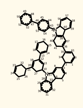 C1=CC(C2=CCC3C(=C2)N(C2C=C(C4=CCCC=C4)C=C(C4CC=CCC4)C2)c2ccccc23)CC(C2=CC3=C(CC2)N(c2ccc(-c4ccccc4)cc2)C2C=CC=CC32)=C1